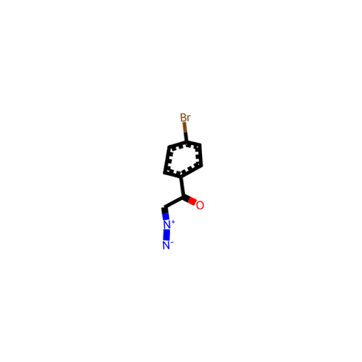 [N-]=[N+]=CC(=O)c1ccc(Br)cc1